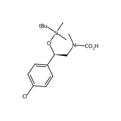 CN(C[C@H](O[Si](C)(C)C(C)(C)C)c1ccc(Cl)cc1)C(=O)O